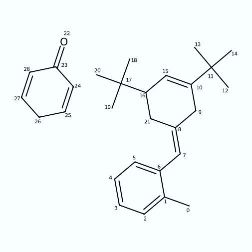 Cc1ccccc1C=C1CC(C(C)(C)C)=CC(C(C)(C)C)C1.O=C1C=CCC=C1